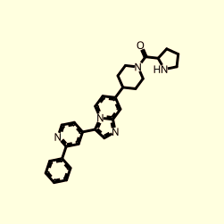 O=C(C1CCCN1)N1CCC(c2ccn3c(-c4ccnc(-c5ccccc5)c4)cnc3c2)CC1